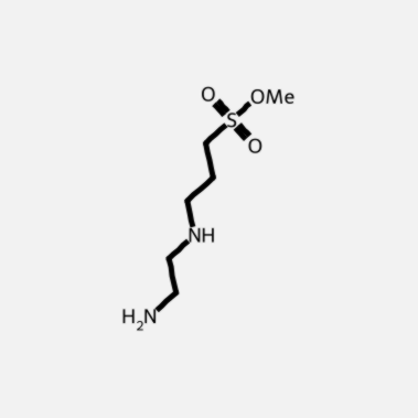 COS(=O)(=O)CCCNCCN